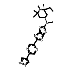 CC[C@]1(C)C[C@@H](N(C)c2nc3sc(-c4cnc(-c5cn[nH]c5)cn4)nc3s2)CC(C)(C)N1C